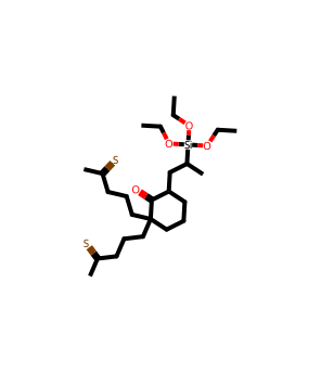 CCO[Si](OCC)(OCC)C(C)CC1CCCC(CCCC(C)=S)(CCCC(C)=S)C1=O